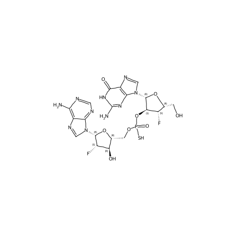 Nc1nc2c(ncn2[C@@H]2O[C@H](CO)[C@H](F)[C@H]2OP(=O)(S)OC[C@H]2O[C@@H](n3cnc4c(N)ncnc43)[C@@H](F)[C@@H]2O)c(=O)[nH]1